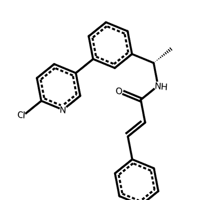 C[C@H](NC(=O)C=Cc1ccncc1)c1cccc(-c2ccc(Cl)nc2)c1